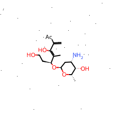 C=C(C(C)=O)/C(O)=C(\C)[C@H](CCO)O[C@H]1C[C@H](N)[C@H](O)[C@H](C)O1